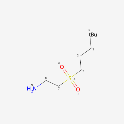 CC(C)(C)CCCS(=O)(=O)CCN